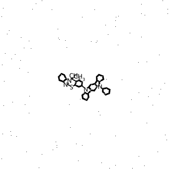 CC1(C)c2ccc(-n3c4ccccc4c4cc5c(cc43)c3ccccc3n5-c3ccccc3)cc2Sc2nc3ccccc3n21